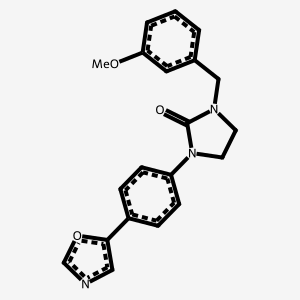 COc1cccc(CN2CCN(c3ccc(-c4cnco4)cc3)C2=O)c1